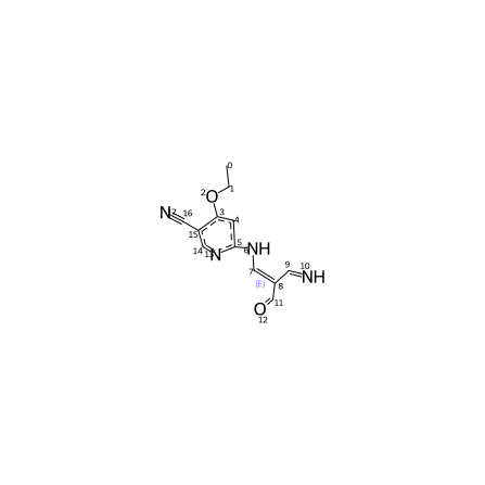 CCOc1cc(N/C=C(\C=N)C=O)ncc1C#N